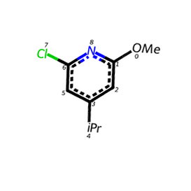 COc1cc(C(C)C)cc(Cl)n1